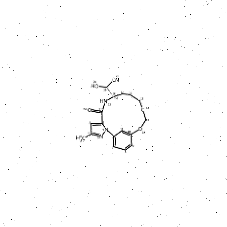 Cc1cc2n(n1)-c1cccc(c1)OCCCCC[C@@H](C(O)C#N)NC2=O